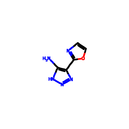 Nc1[nH]nnc1-c1ncco1